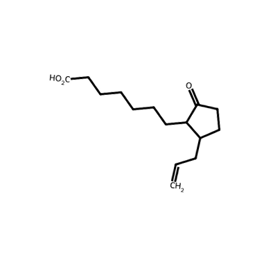 C=CCC1CCC(=O)C1CCCCCCC(=O)O